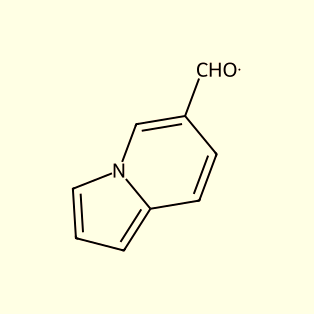 O=[C]c1ccc2cccn2c1